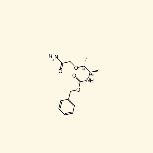 C[C@@H](NC(=O)OCc1ccccc1)[C@@H](C)OCC(N)=O